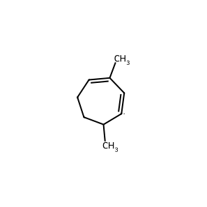 CC1=CCCC(C)[C]=C1